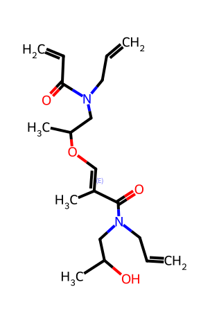 C=CCN(CC(C)O/C=C(\C)C(=O)N(CC=C)CC(C)O)C(=O)C=C